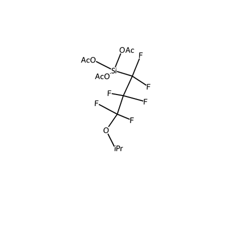 CC(=O)O[Si](OC(C)=O)(OC(C)=O)C(F)(F)C(F)(F)C(F)(F)OC(C)C